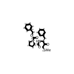 CSCC(=O)[C@H](Cc1ccccc1)NC(=O)[C@@H]1CCCN1C(=O)OCc1ccccc1